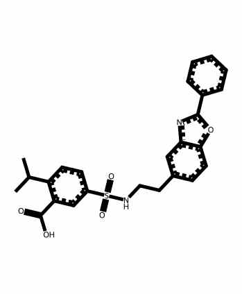 CC(C)c1ccc(S(=O)(=O)NCCc2ccc3oc(-c4ccccc4)nc3c2)cc1C(=O)O